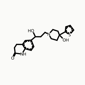 O=C1CCc2cc(C(O)CCN3CCC(O)(c4cccs4)CC3)ccc2N1